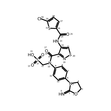 N=C1OCCN1c1ccc(N(CS(=O)(=O)O)C(=O)c2nscc2NC(=O)c2ccc(Cl)s2)cc1